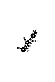 N#CN1C[C@H](NS(=O)(=O)c2cc(Br)ccc2Br)C[C@@H]1CN(C(=O)O)c1ccc(C(F)(F)F)cc1